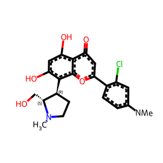 CNc1ccc(-c2cc(=O)c3c(O)cc(O)c([C@H]4CCN(C)[C@@H]4CO)c3o2)c(Cl)c1